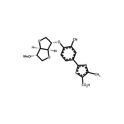 CO[C@H]1CO[C@H]2[C@@H]1OC[C@@H]2Oc1ccc(-c2nc(C)c(C(=O)O)s2)cc1C#N